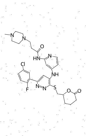 CN1CCN(CCC(=O)Nc2cc(Nc3cc(-c4cc(Cl)ccc4F)nnc3SCC3CCCC(=O)O3)ccn2)CC1